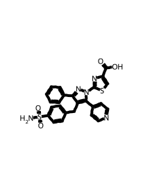 NS(=O)(=O)c1ccc(Cc2c(-c3ccccc3)nn(-c3nc(C(=O)O)cs3)c2-c2ccncc2)cc1